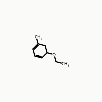 CCOC1C=CC=C(C)C1